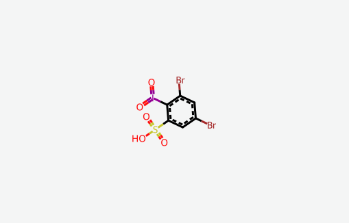 O=I(=O)c1c(Br)cc(Br)cc1S(=O)(=O)O